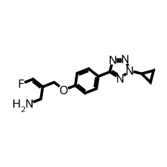 NC/C(=C\F)COc1ccc(-c2nnn(C3CC3)n2)cc1